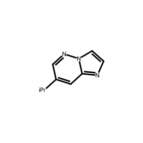 CC(C)c1cnn2ccnc2c1